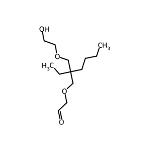 CCCCC(CC)(COCC=O)COCCO